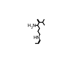 C=C(C(C)C)C(N)CCCN/C=C\C